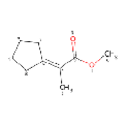 COC(=O)C(C)=C1CCCC1